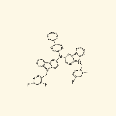 Fc1ccc(Cn2c3ccccc3c3cc(N(c4ccc(-c5ccccc5)cc4)c4ccc5c(c4)c4ccccc4n5Cc4ccc(F)cc4F)ccc32)c(F)c1